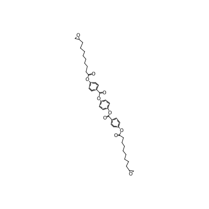 O=C(CCCCCCCCC1CO1)Oc1ccc(C(=O)Oc2ccc(OC(=O)c3ccc(OC(=O)CCCCCCCCC4CO4)cc3)cc2)cc1